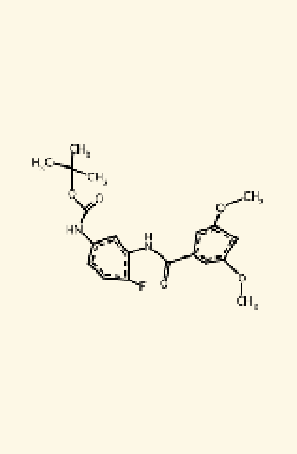 COc1cc(OC)cc(C(=O)Nc2cc(NC(=O)OC(C)(C)C)ccc2F)c1